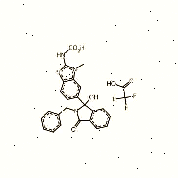 Cn1c(NC(=O)O)nc2ccc(C3(O)c4ccccc4C(=O)N3Cc3ccccc3)cc21.O=C(O)C(F)(F)F